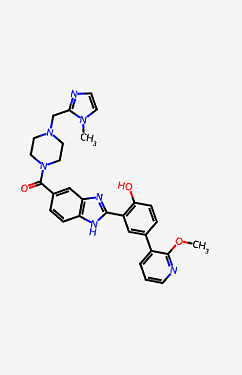 COc1ncccc1-c1ccc(O)c(-c2nc3cc(C(=O)N4CCN(Cc5nccn5C)CC4)ccc3[nH]2)c1